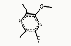 COc1nc(F)c(C)nc1C